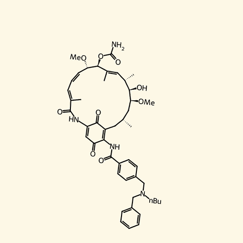 CCCCN(Cc1ccccc1)Cc1ccc(C(=O)NC2=C3C[C@@H](C)C[C@H](OC)[C@H](O)[C@@H](C)/C=C(\C)[C@H](OC(N)=O)[C@@H](OC)/C=C\C=C(/C)C(=O)NC(=CC2=O)C3=O)cc1